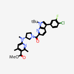 COC(=O)c1c(C)cc(N(C)[C@H]2CCN(C(=O)c3ccc4c(-c5ccc(Cl)c(F)c5)cn(C(C)(C)C)c4n3)C2)nc1C